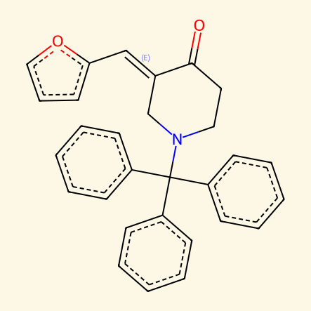 O=C1CCN(C(c2ccccc2)(c2ccccc2)c2ccccc2)C/C1=C\c1ccco1